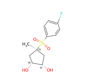 C[C@@]1(S(=O)(=O)c2ccc(F)cc2)C[C@@H](O)[C@@H](O)C1